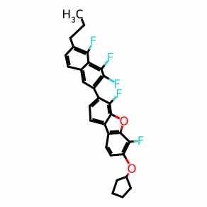 CCCc1ccc2cc(-c3ccc4c(oc5c(F)c(OC6CCCC6)ccc54)c3F)c(F)c(F)c2c1F